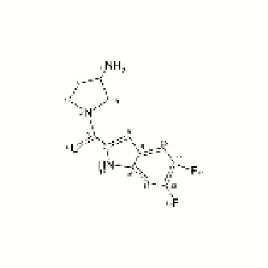 NC1CCN(C(=O)c2cc3cc(F)c(F)cc3[nH]2)C1